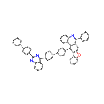 c1ccc(-c2ccc(-c3nc(-c4ccc(-c5ccc(-c6c7c(cc8c(-c9ccccc9)nc9ccccc9c68)oc6ccccc67)cc5)cc4)c4ccccc4n3)cc2)cc1